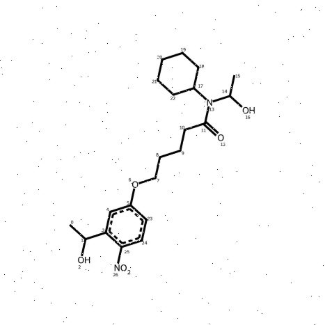 CC(O)c1cc(OCCCCC(=O)N(C(C)O)C2CCCCC2)ccc1[N+](=O)[O-]